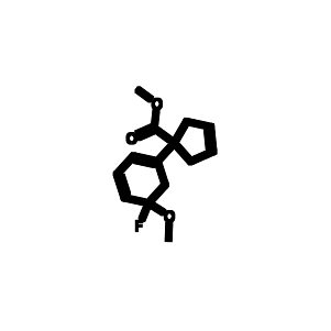 COC(=O)C1(C2=CC=CC(F)(OC)C2)CC=CC1